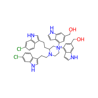 OCc1cc([N+]2(c3cc(CO)cc4[nH]ccc34)CCN(CCc3c[nH]c4cc(Cl)ccc34)C(CCc3c[nH]c4cc(Cl)ccc34)C2)c2cc[nH]c2c1